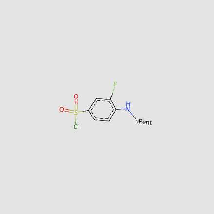 CCCCCNc1ccc(S(=O)(=O)Cl)cc1F